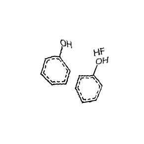 F.Oc1ccccc1.Oc1ccccc1